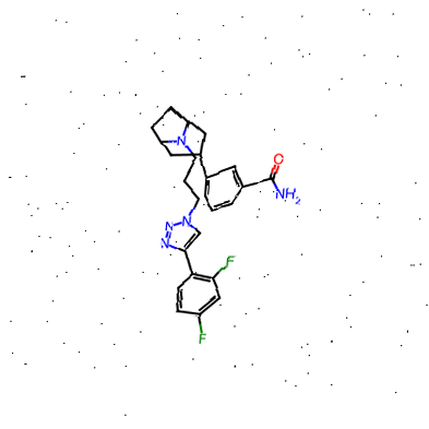 NC(=O)c1cccc(C2CC3CCC(C2)N3CCCn2cc(-c3ccc(F)cc3F)nn2)c1